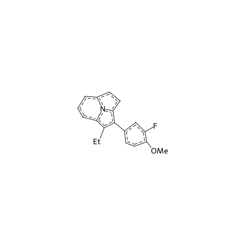 CCc1c(-c2ccc(OC)c(F)c2)c2ccc3cccc1n32